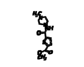 COC(=O)c1ccc(C(=O)NN2CCN(C)CC2)s1